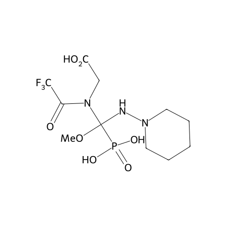 COC(NN1CCCCC1)(N(CC(=O)O)C(=O)C(F)(F)F)P(=O)(O)O